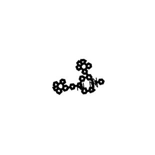 c1ccc(-c2cc(-c3ccc(-c4ccc5c(c4)c4ccccc4c4cccc6ccc7cccc5c7c64)cc3)nc(-c3cccc(-c4cccc(-c5nc(-c6ccccc6)nc(-c6ccc(-c7ccc8c(c7)c7ccccc7c7cccc9ccc%10cccc8c%10c97)cc6)n5)c4)c3)n2)cc1